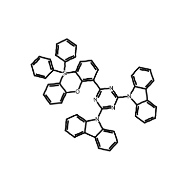 c1ccc([Si]2(c3ccccc3)c3ccccc3Oc3c(-c4nc(-n5c6ccccc6c6ccccc65)nc(-n5c6ccccc6c6ccccc65)n4)cccc32)cc1